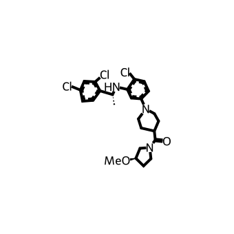 CO[C@@H]1CCN(C(=O)C2CCN(c3ccc(Cl)c(N[C@H](C)c4ccc(Cl)cc4Cl)c3)CC2)C1